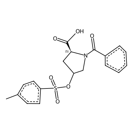 Cc1ccc(S(=O)(=O)OC2C[C@@H](C(=O)O)N(C(=O)c3ccccc3)C2)cc1